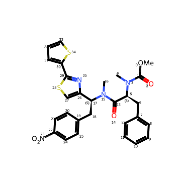 COC(=O)N(C)[C@@H](Cc1ccccc1)C(=O)N(C)[C@@H](Cc1ccc([N+](=O)[O-])cc1)c1csc(-c2cccs2)n1